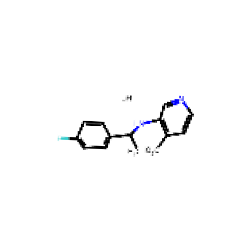 CC(Nc1cnccc1C(=O)O)c1ccc(F)cc1.[LiH]